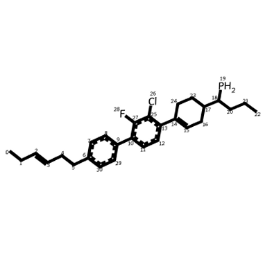 CC/C=C/CCc1ccc(-c2ccc(C3=CCC(C(P)CCC)CC3)c(Cl)c2F)cc1